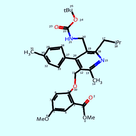 COC(=O)c1cc(OC)ccc1OCc1c(C)nc(CC(C)C)c(CNC(=O)OC(C)(C)C)c1-c1ccc(C)cc1